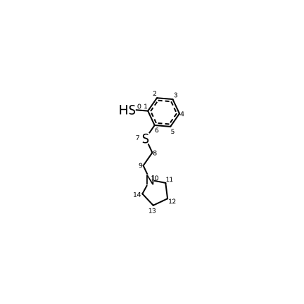 Sc1ccccc1SCCN1CCCC1